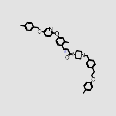 Cc1ccc(COc2ccc(Oc3ccc(/C=C/C(=O)N4CCN(Cc5ccc(CCOc6ccc(C)cc6)cc5)CC4)c(C)c3)nc2)cc1